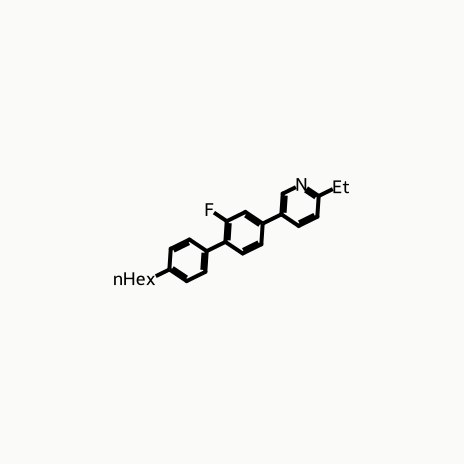 CCCCCCc1ccc(-c2ccc(-c3ccc(CC)nc3)cc2F)cc1